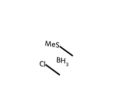 B.CCl.CSC